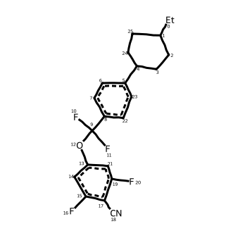 CCC1CCC(c2ccc(C(F)(F)Oc3cc(F)c(C#N)c(F)c3)cc2)CC1